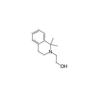 CC1(C)c2cc[c]cc2CCN1CCO